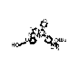 CN(C(=O)OC(C)(C)C)C1CCN(c2nc(N3CCOCC3)nc(-n3c(C(F)F)nc4c(OCCCO)cccc43)n2)CC1